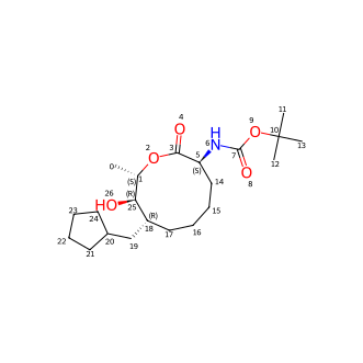 C[C@@H]1OC(=O)[C@@H](NC(=O)OC(C)(C)C)CCCC[C@H](CC2CCCC2)[C@H]1O